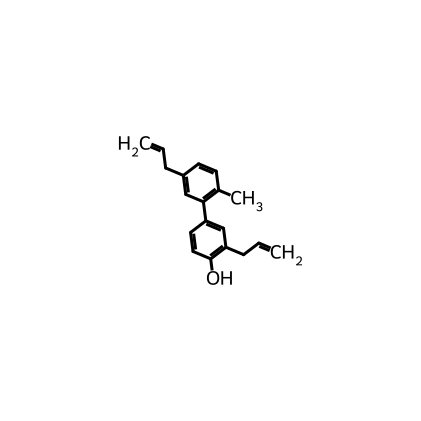 C=CCc1ccc(C)c(-c2ccc(O)c(CC=C)c2)c1